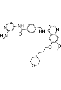 COc1cc2ncnc(NCc3ccc(C(=O)Nc4ccnc(N)c4)cc3)c2cc1OCCCN1CCOCC1